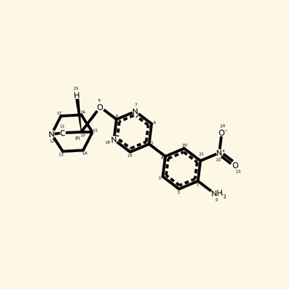 Nc1ccc(-c2cnc(O[C@H]3CN4CCC3CC4)nc2)cc1[N+](=O)[O-]